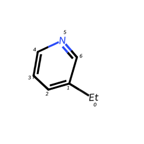 CCc1c[c]cnc1